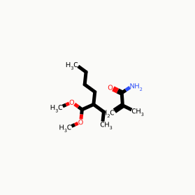 C=C(C)C(N)=O.CCCCC(CC)C(OC)OC